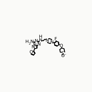 Nc1nc(NCCN2CCN(c3ccc(OC4CC[S+]([O-])CC4)cc3F)CC2)nc2cc(-c3ccco3)nn12